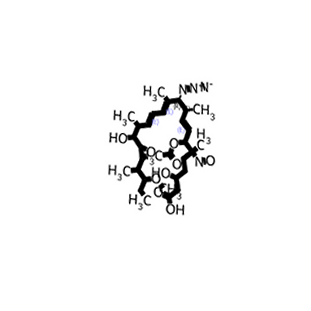 CCC(OC)C(C)C1OC1C(O)C(C)/C=C/C=C(\C)[C@H](N=[N+]=[N-])[C@@H](C)/C=C/C(OC(C)=O)C(C)(CCC(O)CC(=O)O)N=O